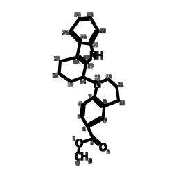 COC(=O)c1ccc2c(c1)CCCN2C1CCCc2c1[nH]c1ccccc21